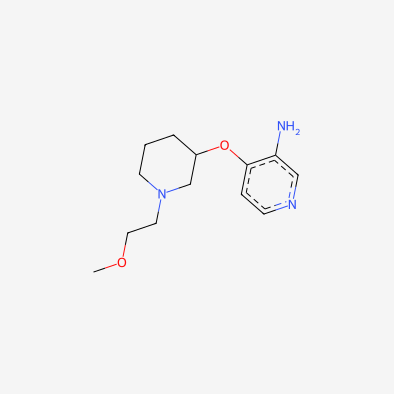 COCCN1CCCC(Oc2ccncc2N)C1